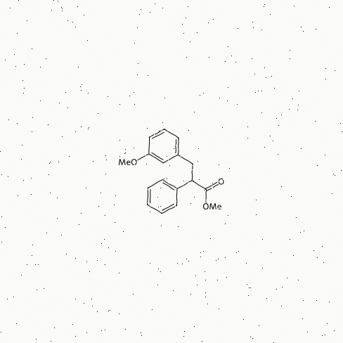 COC(=O)C(Cc1cccc(OC)c1)c1ccccc1